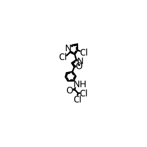 O=C(Nc1cccc(-c2cc(-c3c(Cl)ccnc3Cl)no2)c1)C(Cl)Cl